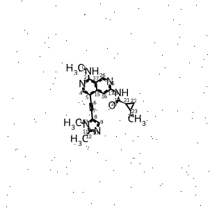 CNc1ncc(C#Cc2cnc(C)n2C)c2cc(NC(=O)[C@H]3C[C@H]3C)ncc12